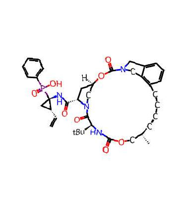 C=C[C@@H]1C[C@]1(NC(=O)[C@@H]1C[C@@H]2CN1C(=O)[C@H](C(C)(C)C)NC(=O)OC[C@@H](C)CCCCc1cccc3c1CN(C3)C(=O)O2)P(=O)(O)c1ccccc1